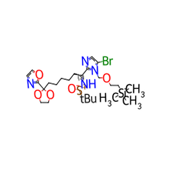 CC(C)(C)[S+]([O-])N[C@@H](CCCCCC1(c2ncco2)OCCO1)c1ncc(Br)n1COCC[Si](C)(C)C